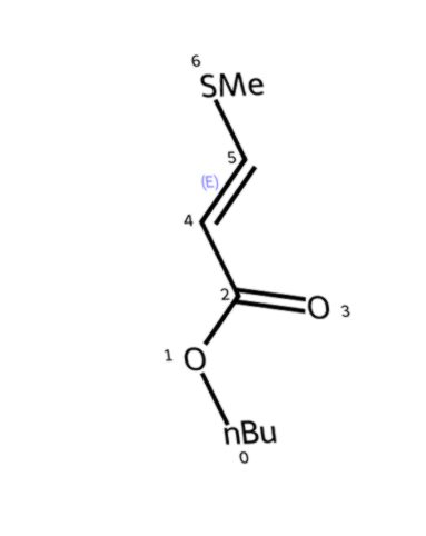 CCCCOC(=O)/C=C/SC